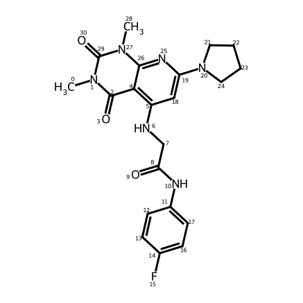 Cn1c(=O)c2c(NCC(=O)Nc3ccc(F)cc3)cc(N3CCCC3)nc2n(C)c1=O